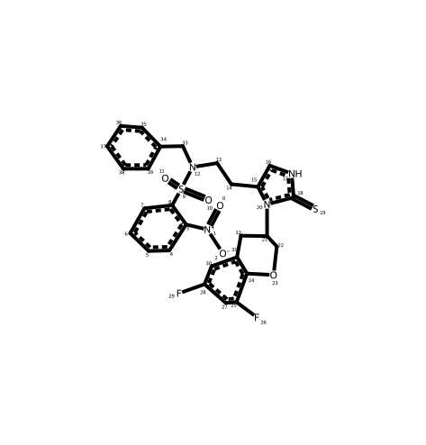 O=[N+]([O-])c1ccccc1S(=O)(=O)N(CCc1c[nH]c(=S)n1C1COc2c(F)cc(F)cc2C1)Cc1ccccc1